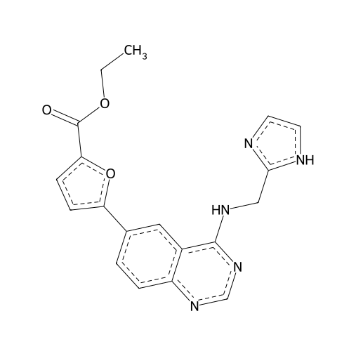 CCOC(=O)c1ccc(-c2ccc3ncnc(NCc4ncc[nH]4)c3c2)o1